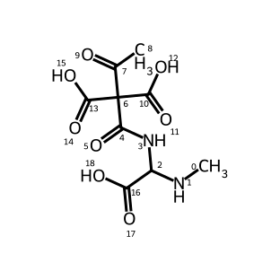 CNC(NC(=O)C(C(C)=O)(C(=O)O)C(=O)O)C(=O)O